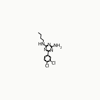 CCCCNc1nc(N)nc(-c2ccc(Cl)c(Cl)c2)n1